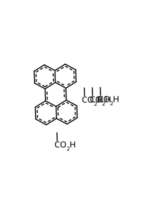 CC(=O)O.CC(=O)O.CC(=O)O.CC(=O)O.c1cc2cccc3c4cccc5cccc(c(c1)c23)c54